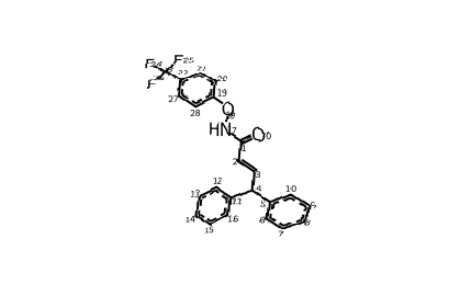 O=C(C=CC(c1ccccc1)c1ccccc1)NOc1ccc(C(F)(F)F)cc1